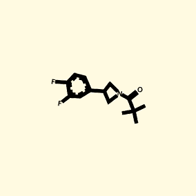 CC(C)(C)C(=O)N1CC(c2ccc(F)c(F)c2)C1